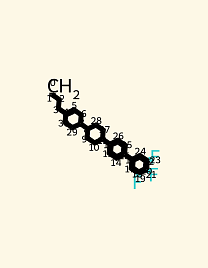 C=CCCC1=CCC(C2CCC(c3ccc(-c4cc(F)c(F)c(F)c4)cc3)CC2)CC1